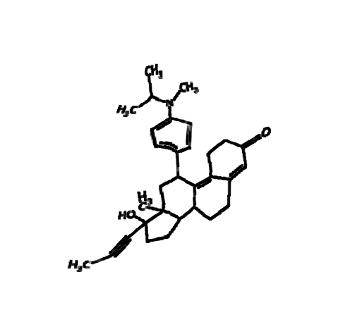 CC#CC1(O)CCC2C3CCC4=CC(=O)CCC4=C3C(c3ccc(N(C)C(C)C)cc3)CC21C